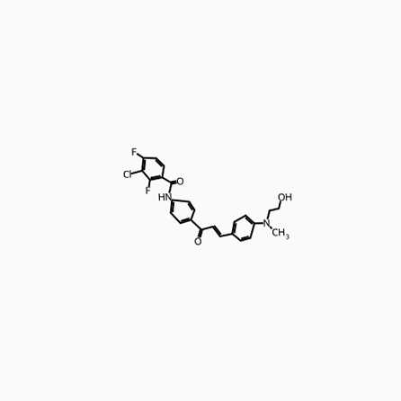 CN(CCO)c1ccc(/C=C/C(=O)c2ccc(NC(=O)c3ccc(F)c(Cl)c3F)cc2)cc1